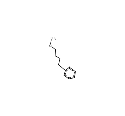 COCCCCc1[c]cccc1